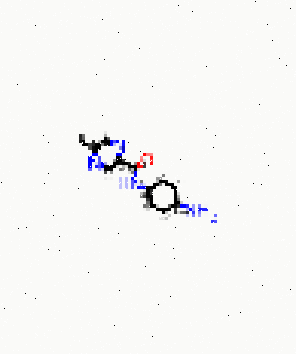 Cc1cnc(C(=O)NC2CCC(N)CC2)cn1